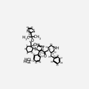 CC(C)(OC[C@@]1(O)CCCC[C@@H]1n1cnc(C(=O)N2CCNC[C@H]2Cc2ccccc2)c1-c1ccccc1)c1nccs1.Cl.Cl